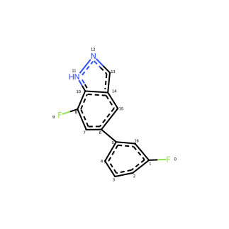 Fc1cc[c]c(-c2cc(F)c3[nH]ncc3c2)c1